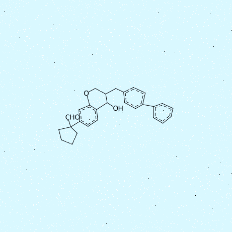 O=[C]C1(c2ccc3c(c2)OCC(Cc2ccc(-c4ccccc4)cc2)C3O)CCCC1